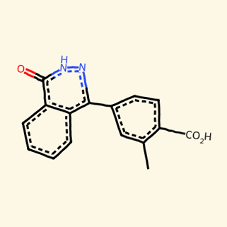 Cc1cc(-c2n[nH]c(=O)c3ccccc23)ccc1C(=O)O